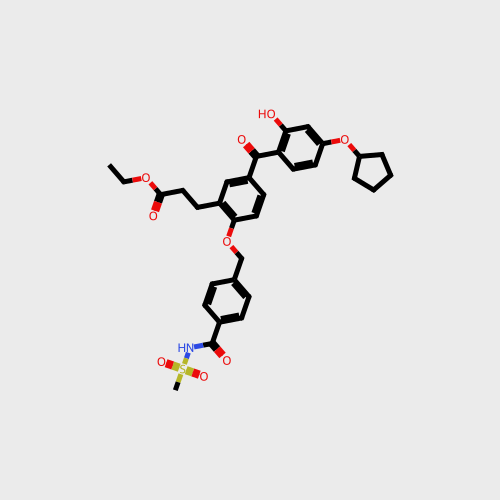 CCOC(=O)CCc1cc(C(=O)c2ccc(OC3CCCC3)cc2O)ccc1OCc1ccc(C(=O)NS(C)(=O)=O)cc1